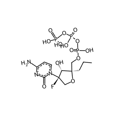 CCC[C@]1(COP(=O)(O)OP(=O)(O)OP(=O)(O)O)OC[C@](F)(n2ccc(N)nc2=O)[C@@H]1O